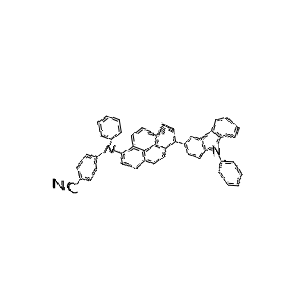 N#Cc1ccc(N(c2ccccc2)c2ccc3ccc4c(-c5ccc6c(c5)c5ccccc5n6-c5ccccc5)ccc5ccc2c3c54)cc1